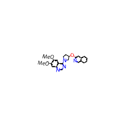 COc1cc2ncnc(N3CCC(Oc4cc5ccccc5cn4)C3)c2cc1OC